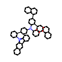 c1ccc(-c2cc(-c3cccc4ccccc34)ccc2N(c2ccc(-c3ccccc3-n3c4ccccc4c4cc5ccccc5cc43)cc2)c2cccc(-c3cccc4ccccc34)c2)cc1